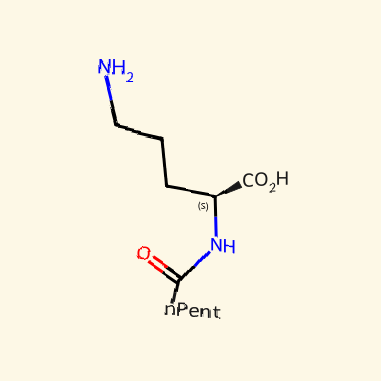 CCCCCC(=O)N[C@@H](CCCN)C(=O)O